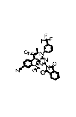 [C-]#[N+]C1=C(C)N(c2cccc(C(F)(F)F)c2)c2nc(N3C(=O)c4ccccc4C3=O)nn2C1c1ccc(C#N)cc1S(C)(=O)=O